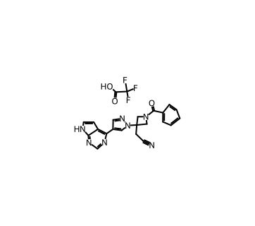 N#CCC1(n2cc(-c3ncnc4[nH]ccc34)cn2)CN(C(=O)c2ccccc2)C1.O=C(O)C(F)(F)F